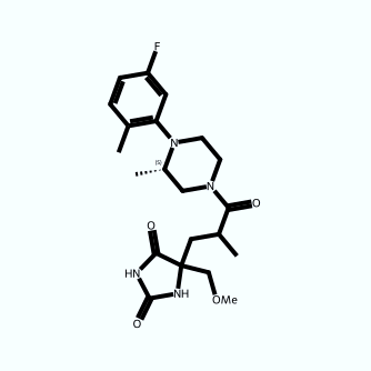 COCC1(CC(C)C(=O)N2CCN(c3cc(F)ccc3C)[C@@H](C)C2)NC(=O)NC1=O